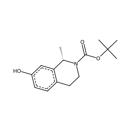 C[C@H]1c2cc(O)ccc2CCN1C(=O)OC(C)(C)C